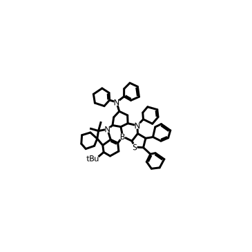 CC(C)(C)C1CCC2=C3C1C1(CCCCC1)C(C)(C)N3C1CC(N(C3=CC=CCC3)C3=CCCCC3)CC3C1B2C1SC(C2=CCCC=C2)C(C2C=CC=CC2)C1N3C1CC=CCC1